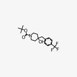 CC(C)(C)OC(=O)N1CCC(O)(Cc2ccc(C(F)(F)F)cc2)CC1